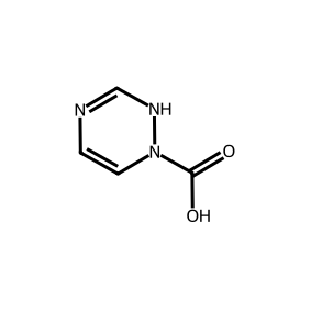 O=C(O)N1C=CN=CN1